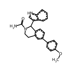 COc1ccc(-c2ccc3c(c2)CCN(C(N)=O)C3c2c[nH]c3ccccc23)cc1